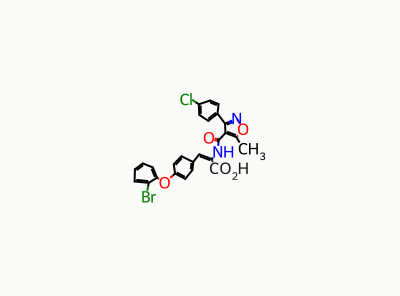 Cc1onc(-c2ccc(Cl)cc2)c1C(=O)NC(=Cc1ccc(Oc2ccccc2Br)cc1)C(=O)O